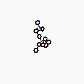 C1=CCC(c2ccccc2-c2ccccc2)(N(c2ccc(-c3ccccc3)cc2)c2ccc(-c3cccc4c3c3ccccc3n4-c3ccccc3)cc2)C(c2ccccc2)=C1